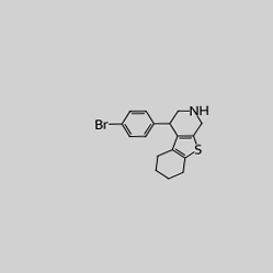 Brc1ccc(C2CNCc3sc4c(c32)CCCC4)cc1